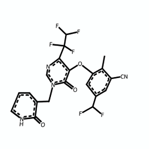 Cc1c(C#N)cc(C(F)F)cc1Oc1c(C(F)(F)C(F)F)ncn(Cc2ccc[nH]c2=O)c1=O